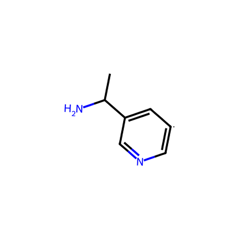 CC(N)c1c[c]cnc1